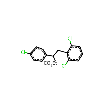 CCOC(=O)C(Cc1c(Cl)cccc1Cl)c1ccc(Cl)cc1